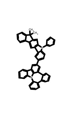 CC1(C)c2ccccc2-c2cc3c4cc(-c5cc6c7c(c5)c5ccccc5n7-c5ccccc5-c5ccccc5-6)ccc4n(-c4ccccc4)c3cc21